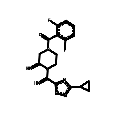 N=C1CN(C(=O)c2c(F)cccc2F)CCN1C(=N)c1nc(C2CC2)ns1